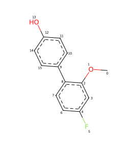 COc1cc(F)ccc1-c1ccc(O)cc1